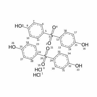 Cl.Cl.O=S(=O)(c1ccc(O)cc1)c1ccc(O)cc1.O=S(=O)(c1ccc(O)cc1)c1ccc(O)cc1